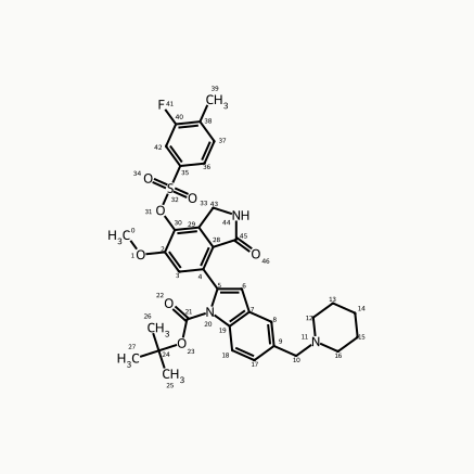 COc1cc(-c2cc3cc(CN4CCCCC4)ccc3n2C(=O)OC(C)(C)C)c2c(c1OS(=O)(=O)c1ccc(C)c(F)c1)CNC2=O